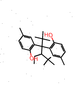 CCC(C(C)(C)C)C(c1cc(C)ccc1O)(c1cc(C)ccc1O)C(C)(C)C